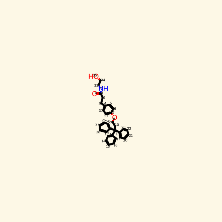 O=C(CCc1ccc(OCCC(c2ccccc2)(c2ccccc2)c2ccccc2)cc1)NCCO